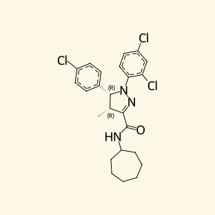 C[C@H]1C(C(=O)NC2CCCCCC2)=NN(c2ccc(Cl)cc2Cl)[C@H]1c1ccc(Cl)cc1